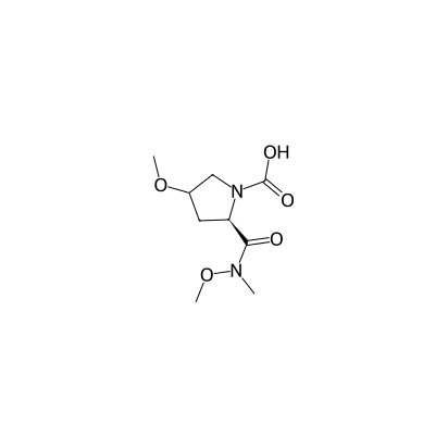 COC1C[C@H](C(=O)N(C)OC)N(C(=O)O)C1